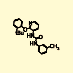 Cc1cccc(NC(=O)Nc2cccnc2Oc2ccccc2C(C)(C)C)c1